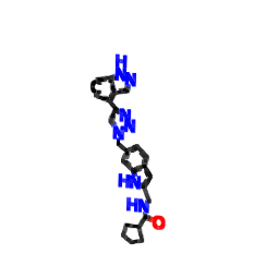 O=C(NCc1cc2ccc(Cn3cc(-c4cccc5[nH]ncc45)nn3)cc2[nH]1)C1CCCC1